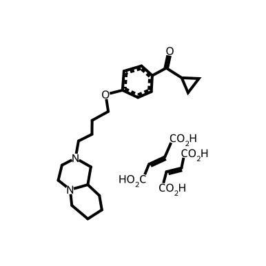 O=C(O)C=CC(=O)O.O=C(O)C=CC(=O)O.O=C(c1ccc(OCCCCN2CCN3CCCCC3C2)cc1)C1CC1